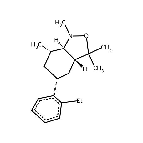 CCc1ccccc1[C@H]1C[C@@H]2[C@@H]([C@@H](C)C1)N(C)OC2(C)C